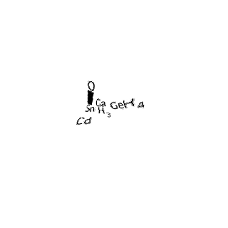 [Cd].[GaH3].[GeH4].[O]=[Sn]